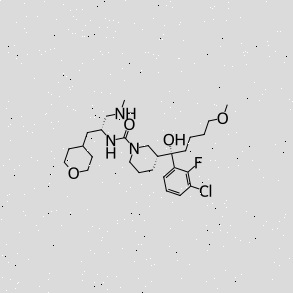 CNC[C@@H](CC1CCOCC1)NC(=O)N1CCC[C@@H]([C@@](O)(CCCCOC)c2cccc(Cl)c2F)C1